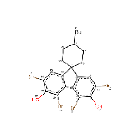 CCC(C)C1CCC(c2cc(Br)c(O)c(Br)c2)(c2cc(Br)c(O)c(Br)c2)CC1